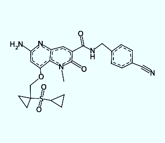 Cn1c(=O)c(C(=O)NCc2ccc(C#N)cc2)cc2nc(N)cc(OCC3(S(=O)(=O)C4CC4)CC3)c21